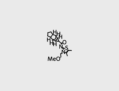 COCCn1c(C)c(C)s/c1=N\C(=O)C1[C@@H]2[C@@H]3C[C@@H]([C@@H]4CCC[C@@H]43)[C@H]12